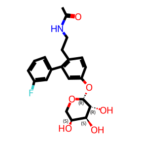 CC(=O)NCCc1ccc(O[C@H]2OC[C@H](O)[C@H](O)[C@H]2O)cc1-c1cccc(F)c1